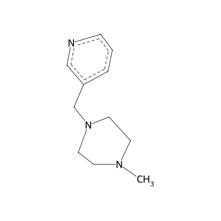 CN1CCN(Cc2cccnc2)CC1